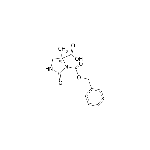 C[C@@]1(C(=O)O)CNC(=O)N1C(=O)OCc1ccccc1